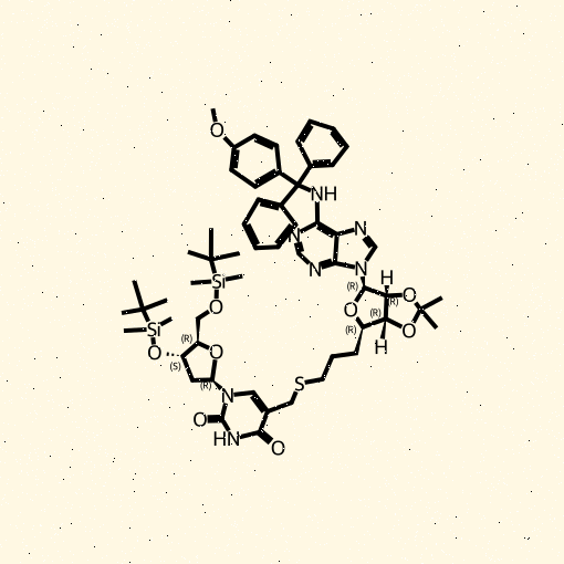 COc1ccc(C(Nc2ncnc3c2ncn3[C@@H]2O[C@H](CCCSCc3cn([C@H]4C[C@H](O[Si](C)(C)C(C)(C)C)[C@@H](CO[Si](C)(C)C(C)(C)C)O4)c(=O)[nH]c3=O)[C@H]3OC(C)(C)O[C@H]32)(c2ccccc2)c2ccccc2)cc1